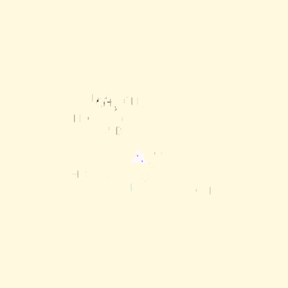 Cc1ccc(S(=O)(=O)n2cc(B3OC(C)(C)C(C)(C)O3)c3cc(C)cc(F)c32)cc1